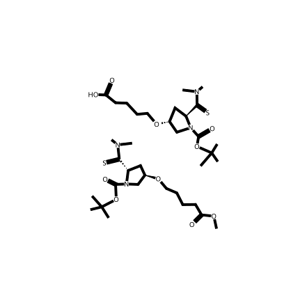 CN(C)C(=S)[C@@H]1C[C@@H](OCCCCC(=O)O)CN1C(=O)OC(C)(C)C.COC(=O)CCCCO[C@@H]1C[C@@H](C(=S)N(C)C)N(C(=O)OC(C)(C)C)C1